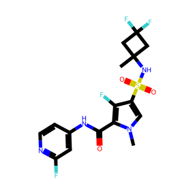 Cn1cc(S(=O)(=O)NC2(C)CC(F)(F)C2)c(F)c1C(=O)Nc1ccnc(F)c1